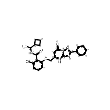 CC(NC(=O)c1c(Cl)cccc1OCc1cc(=O)n2nc(-c3ccccc3)nc2[nH]1)C1CCC1